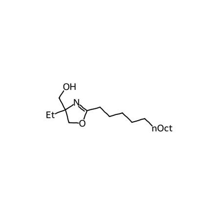 CCCCCCCCCCCCCC1=NC(CC)(CO)CO1